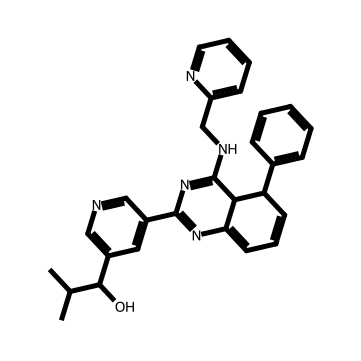 CC(C)C(O)c1cncc(C2=NC3=CC=CC(c4ccccc4)C3C(NCc3ccccn3)=N2)c1